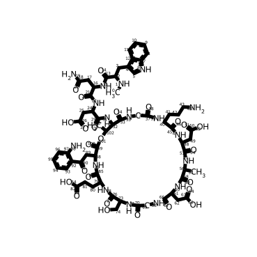 CNC(Cc1c[nH]c2ccccc12)C(=O)NC(CC(N)=O)C(=O)NC(CC(=O)O)C(=O)NC1C(=O)NCC(=O)NC(CCCN)C(=O)NC(CC(=O)O)C(=O)NC(C)C(=O)NC(CC(=O)O)C(=O)NCC(=O)NC(CO)C(=O)NC(CCC(=O)O)C(=O)NC(CC(=O)c2ccccc2N)C(=O)OC1C